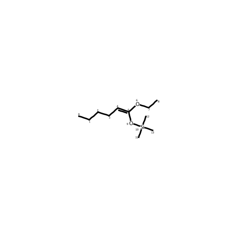 CCCC/C=C(/OCC)O[Si](C)(C)C